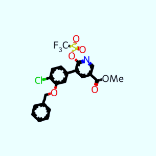 COC(=O)c1cnc(OS(=O)(=O)C(F)(F)F)c(-c2ccc(Cl)c(OCc3ccccc3)c2)c1